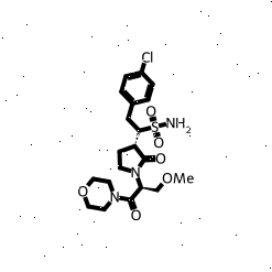 COC[C@@H](C(=O)N1CCOCC1)N1CC[C@H](C(Cc2ccc(Cl)cc2)S(N)(=O)=O)C1=O